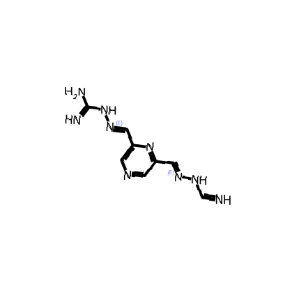 N=CN/N=C/c1cncc(/C=N/NC(=N)N)n1